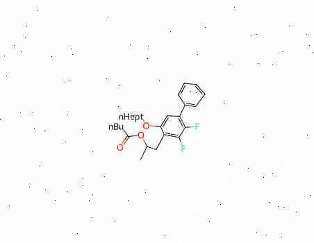 CCCCCCCOc1cc(-c2ccccc2)c(F)c(F)c1CC(C)OC(=O)CCCC